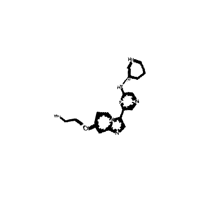 CC(C)(C)CCOc1ccn2c(-c3cncc(N[C@@H]4CCCNC4)n3)cnc2c1